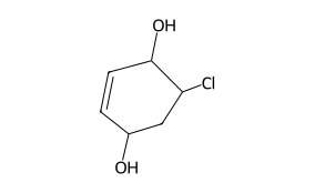 OC1C=CC(O)C(Cl)C1